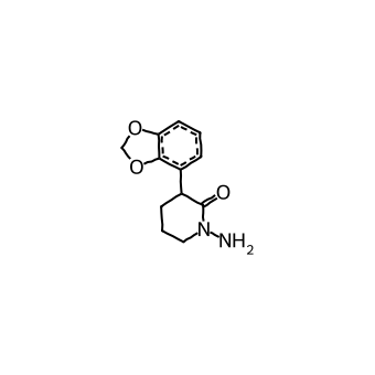 NN1CCCC(c2cccc3c2OCO3)C1=O